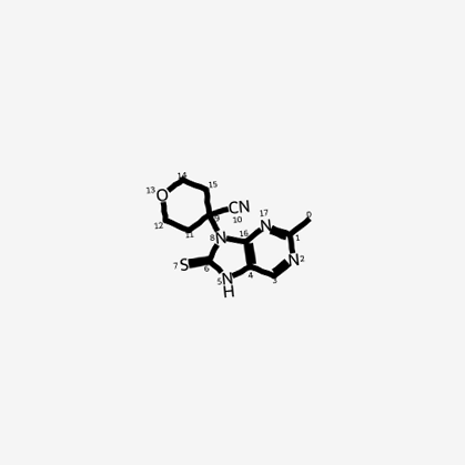 Cc1ncc2[nH]c(=S)n(C3(C#N)CCOCC3)c2n1